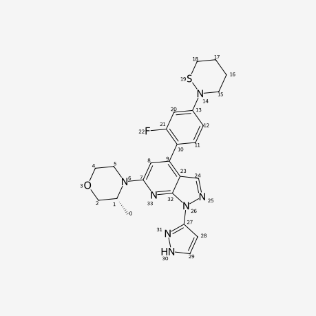 C[C@@H]1COCCN1c1cc(-c2ccc(N3CCCCS3)cc2F)c2cnn(-c3cc[nH]n3)c2n1